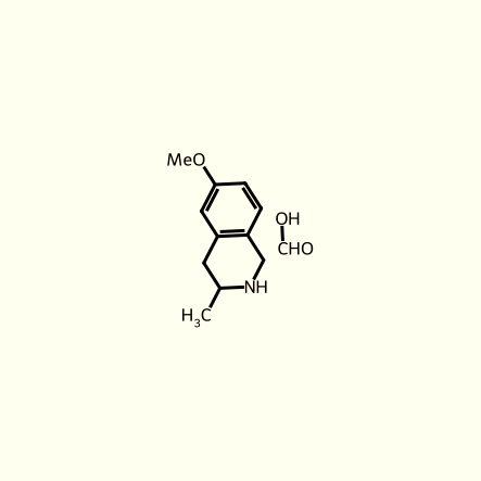 COc1ccc2c(c1)CC(C)NC2.O=CO